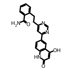 NC(=O)c1ccccc1C[CH]c1cc(-c2ccc3[nH]c(=O)cc(O)c3c2)ncn1